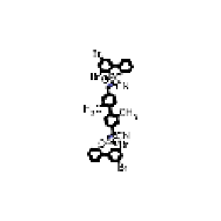 Cc1cc(/C=C(\C#N)P2(=O)Oc3ccccc3-c3cc(Br)cc(Br)c32)ccc1-c1ccc(/C(C#N)=C/P2(=O)Oc3ccccc3-c3cc(Br)cc(Br)c32)cc1C